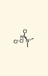 C[N+](C)=CCl.Cl.[Cl-]